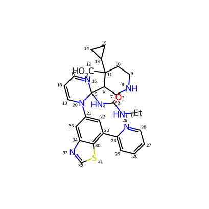 CCNC(=O)NC1(C2CNCCC2(C(=O)O)C2CC2)N=CC=CN1c1cc(-c2ccccn2)c2scnc2c1